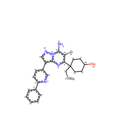 COCC1(c2nc3c(-c4ccc(-c5ccccc5)nc4)cnn3c(N)c2Br)CCC(O)CC1